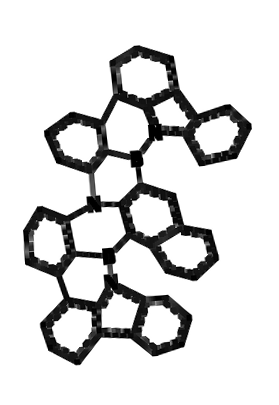 c1cc2c3c(c1)N1c4cccc5c4B(c4c1c(cc1ccccc41)B3n1c3ccccc3c3cccc-2c31)n1c2ccccc2c2cccc-5c21